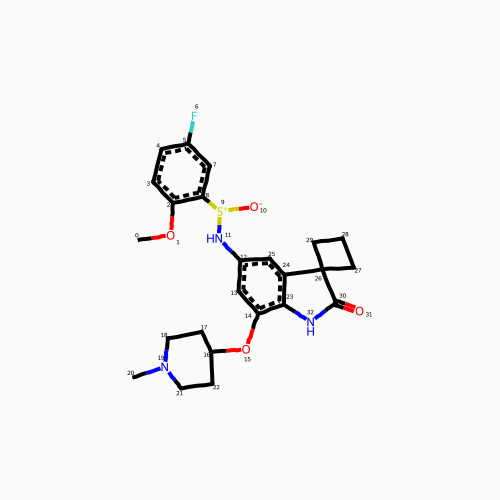 COc1ccc(F)cc1[S+]([O-])Nc1cc(OC2CCN(C)CC2)c2c(c1)C1(CCC1)C(=O)N2